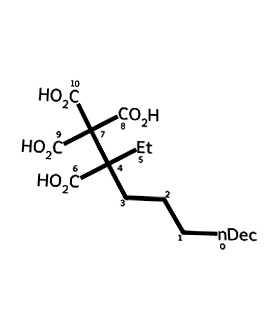 CCCCCCCCCCCCCC(CC)(C(=O)O)C(C(=O)O)(C(=O)O)C(=O)O